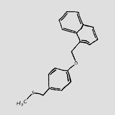 CSCc1ccc(OCc2cccc3ccccc23)cc1